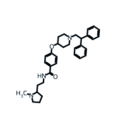 CN1CCCC1CCNC(=O)c1ccc(OC2CCN(CC(c3ccccc3)c3ccccc3)CC2)cc1